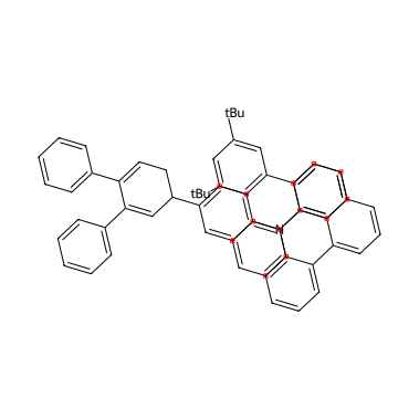 CC(C)(C)c1cc(-c2ccccc2N(c2ccc(C3C=C(c4ccccc4)C(c4ccccc4)=CC3)cc2)c2ccccc2-c2cccc3cccc(-c4ccccc4)c23)cc(C(C)(C)C)c1